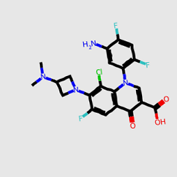 CN(C)C1CN(c2c(F)cc3c(=O)c(C(=O)O)cn(-c4cc(N)c(F)cc4F)c3c2Cl)C1